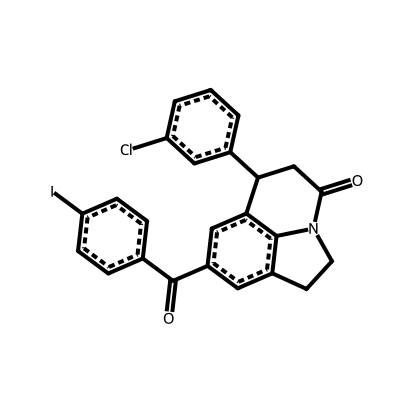 O=C(c1ccc(I)cc1)c1cc2c3c(c1)C(c1cccc(Cl)c1)CC(=O)N3CC2